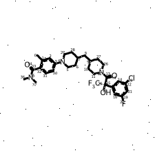 Cc1cc(N2CCC(CC3CCN(C(=O)[C@](O)(c4cc(F)cc(Cl)c4)C(F)(F)F)CC3)CC2)ccc1C(=O)N(C)C